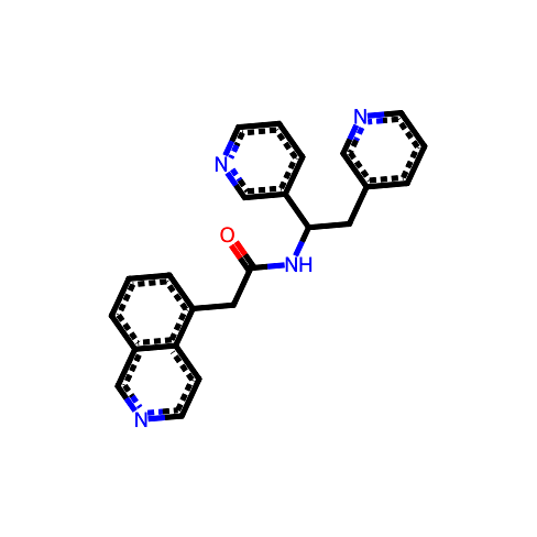 O=C(Cc1cccc2cnccc12)NC(Cc1cccnc1)c1cccnc1